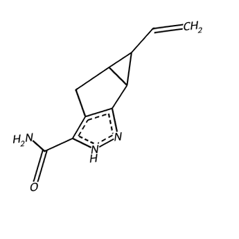 C=CC1C2Cc3c(n[nH]c3C(N)=O)C12